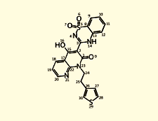 O=c1c(C2=NS(=O)(=O)c3ccccc3N2)c(O)c2cccnc2n1CCc1ccsc1